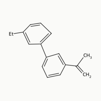 C=C(C)c1cccc(-c2cccc(CC)c2)c1